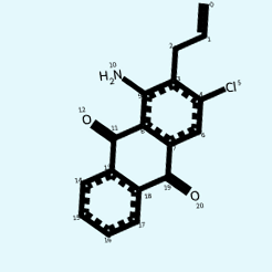 C=CCc1c(Cl)cc2c(c1N)C(=O)c1ccccc1C2=O